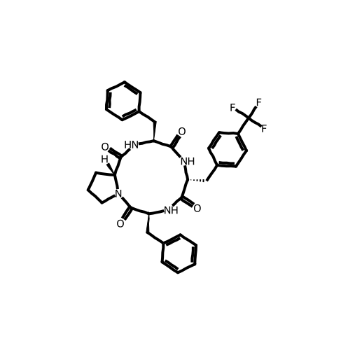 O=C1N[C@H](Cc2ccc(C(F)(F)F)cc2)C(=O)N[C@@H](Cc2ccccc2)C(=O)N2CCC[C@@H]2C(=O)N[C@H]1Cc1ccccc1